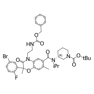 Cc1cc2c(cc1C(=O)N(C(C)C)[C@@H]1CCCN(C(=O)OC(C)(C)C)C1)N(CCNC(=O)OCc1ccccc1)C(=O)C(C)(c1cc(Br)ccc1F)O2